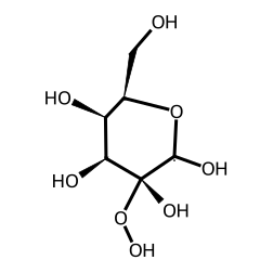 OC[C@H]1O[C](O)[C@](O)(OO)[C@@H](O)[C@H]1O